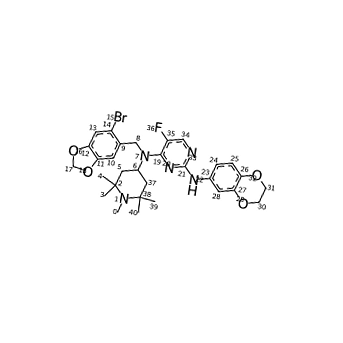 CN1C(C)(C)CC(N(Cc2cc3c(cc2Br)OCO3)c2nc(Nc3ccc4c(c3)OCCO4)ncc2F)CC1(C)C